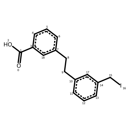 O=C(O)c1cccc(CCc2cccc(CI)c2)c1